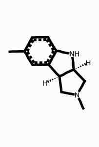 Cc1ccc2c(c1)[C@@H]1CN(C)C[C@@H]1N2